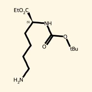 CCOC(=O)[C@H](CCCCN)NC(=O)OC(C)(C)C